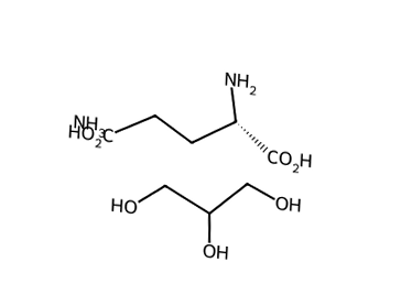 N.N[C@@H](CCC(=O)O)C(=O)O.OCC(O)CO